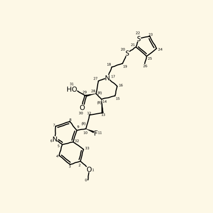 COc1ccc2nccc([C@H](F)CC[C@@H]3CCN(CCSc4sccc4C)C[C@@H]3C(=O)O)c2c1